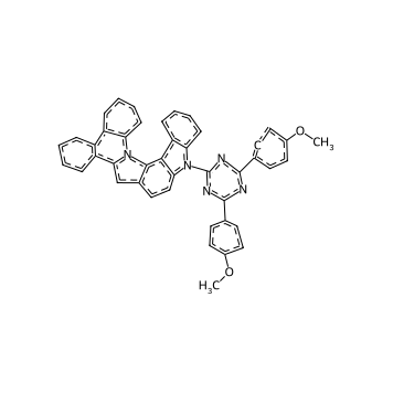 COc1ccc(-c2nc(-c3ccc(OC)cc3)nc(-n3c4ccccc4c4c3ccc3cc5c6ccccc6c6ccccc6n5c34)n2)cc1